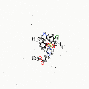 Cc1cnccc1-c1cccc(C2CN(CCCC(=O)OC(C)(C)C)CCN2S(=O)(=O)c2cccc(Cl)c2C)c1